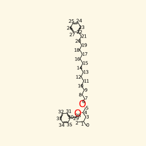 CC(C)CC(COCCCCCCCCCCCCCCCc1ccccc1)OCc1ccccc1